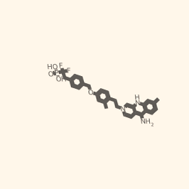 Cc1ccc2c(c1)NC1=CN(CCc3ccc(OCc4ccc(CC(F)(F)P(=O)(O)O)cc4)cc3C)C=CC1=C2N